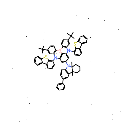 CC(C)(C)c1ccc2c(c1)N(c1cccc3c1sc1ccccc13)c1cc(N3c4ccc(-c5ccccc5)cc4C4(C)CCCCC34C)cc3c1B2c1ccc(C(C)(C)C)cc1N3c1cccc2c1sc1ccccc12